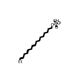 CCC=CCC=CCC=CCCCCCCCCOS(C)(=O)=O